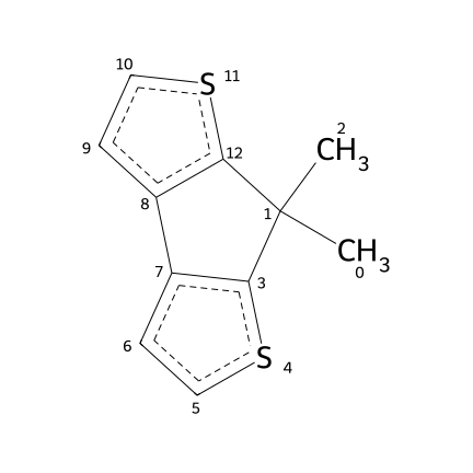 CC1(C)c2sccc2-c2ccsc21